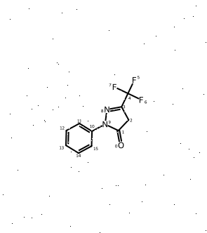 O=C1CC(C(F)(F)F)=NN1c1ccccc1